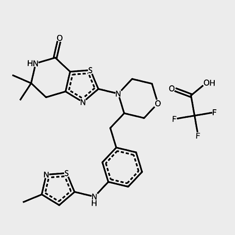 Cc1cc(Nc2cccc(CC3COCCN3c3nc4c(s3)C(=O)NC(C)(C)C4)c2)sn1.O=C(O)C(F)(F)F